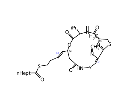 C=N/C1=C\SNC(=O)C[C@@H](/C=C/CCSC(=O)CCCCCCC)OC(=O)C(C(C)C)NC(=O)[C@]2(C)CSC1=N2